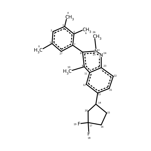 Cc1cc(C)c(C)c(-c2c(C)c3cc(C4CCC(F)(F)C4)ccc3n[n+]2C)c1